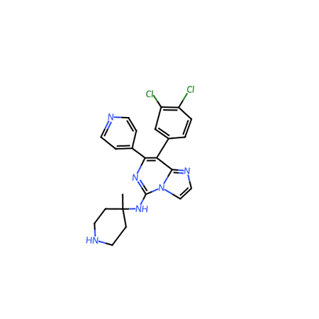 CC1(Nc2nc(-c3ccncc3)c(-c3ccc(Cl)c(Cl)c3)c3nccn23)CCNCC1